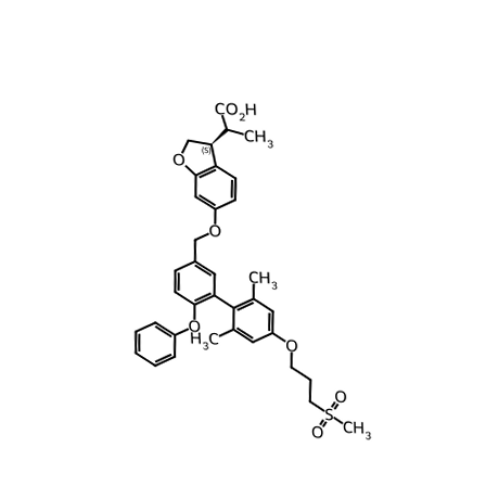 Cc1cc(OCCCS(C)(=O)=O)cc(C)c1-c1cc(COc2ccc3c(c2)OC[C@H]3C(C)C(=O)O)ccc1Oc1ccccc1